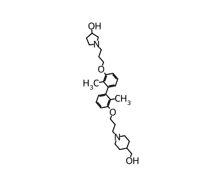 Cc1c(OCCCN2CCC(CO)CC2)cccc1-c1cccc(OCCCN2CCC(O)C2)c1C